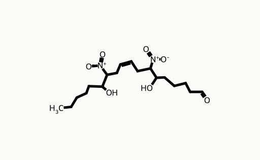 CCCCCC(O)C(C/C=C\CC(C(O)CCCCC=O)[N+](=O)[O-])[N+](=O)[O-]